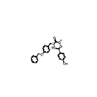 COC(=O)[C@H](Cc1ccc(OCc2ccccc2)cc1)NC(=O)c1ccc(O)cc1